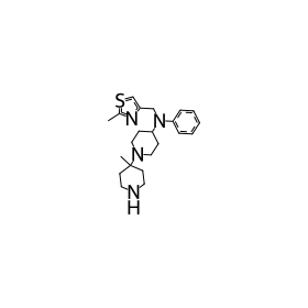 Cc1nc(CN(c2ccccc2)C2CCN(C3(C)CCNCC3)CC2)cs1